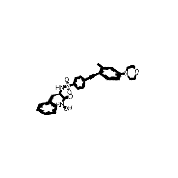 Cc1cc(N2CCOCC2)ccc1C#Cc1ccc(S(=O)(=O)N[C@H](Cc2ccccc2)C(=O)NO)cc1